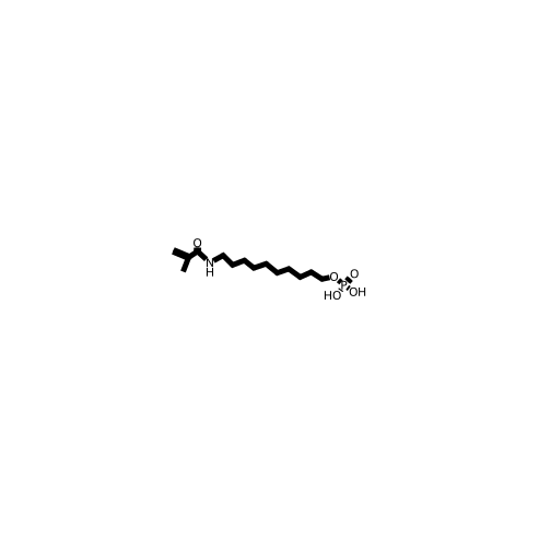 C=C(C)C(=O)NCCCCCCCCCCOP(=O)(O)O